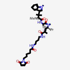 CN[C@H](C(=O)NC(C(=O)N(C)[C@H](/C=C(\C)C(=O)NCCCCNC(=O)CCCCCN1C(=O)C=CC1=O)C(C)C)C(C)(C)C)C(C)(C)c1cn(C)c2ccccc12